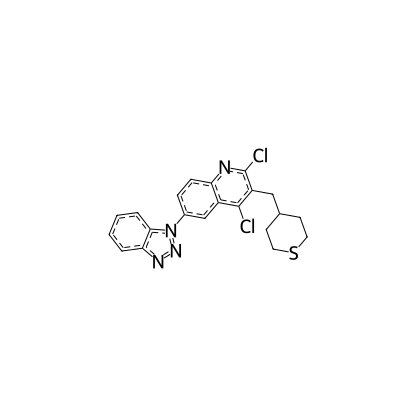 Clc1nc2ccc(-n3nnc4ccccc43)cc2c(Cl)c1CC1CCSCC1